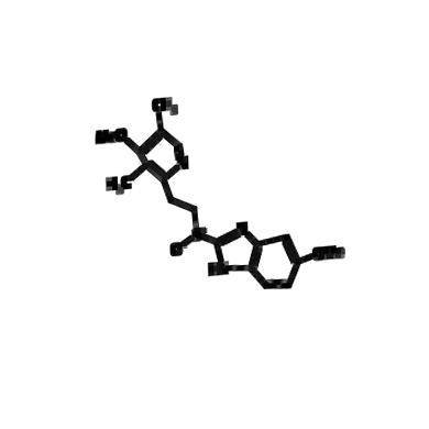 COc1ccc2[nH]c([S+]([O-])CCc3ncc(C)c(OC)c3C)nc2c1